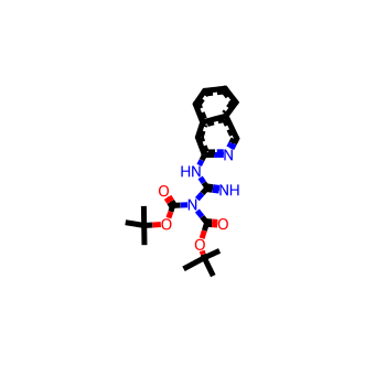 CC(C)(C)OC(=O)N(C(=N)Nc1cc2ccccc2cn1)C(=O)OC(C)(C)C